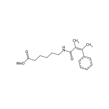 COC(=O)CCCCCNC(=O)C(C)=C(C)c1ccccc1